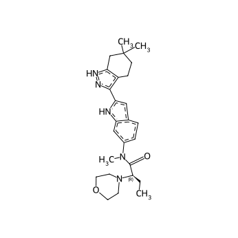 CC[C@H](C(=O)N(C)c1ccc2cc(-c3n[nH]c4c3CCC(C)(C)C4)[nH]c2c1)N1CCOCC1